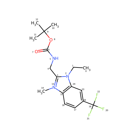 CCn1c(CNC(=O)OC(C)(C)C)[n+](C)c2ccc(C(F)(F)F)cc21